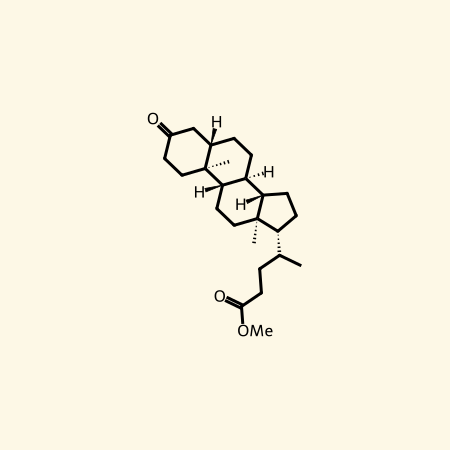 COC(=O)CCC(C)[C@H]1CC[C@H]2[C@@H]3CC[C@H]4CC(=O)CC[C@]4(C)[C@H]3CC[C@]12C